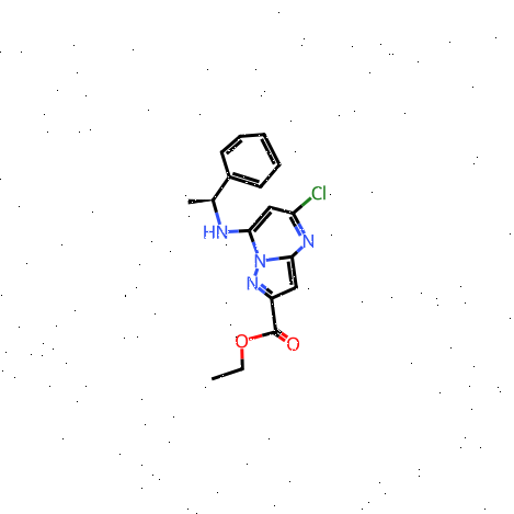 CCOC(=O)c1cc2nc(Cl)cc(N[C@@H](C)c3ccccc3)n2n1